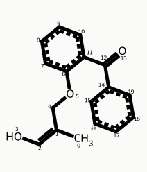 C/C(=C/O)COc1ccccc1C(=O)c1ccccc1